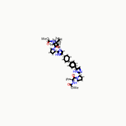 [2H]C([2H])([2H])C([2H])(C([2H])([2H])[2H])[C@@]([2H])(NC(=O)OC)C(=O)N1CCC[C@H]1c1ncc([C@H]2CC[C@H](c3ccc(-c4cnc([C@@H]5CCCN5C(=O)[C@@H](NC(=O)OC)C(C)C)[nH]4)cc3)CC2)[nH]1